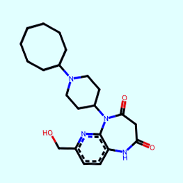 O=C1CC(=O)N(C2CCN(C3CCCCCCC3)CC2)c2nc(CO)ccc2N1